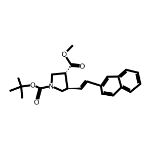 COC(=O)[C@H]1CN(C(=O)OC(C)(C)C)C[C@@H]1/C=C/c1ccc2ccccc2c1